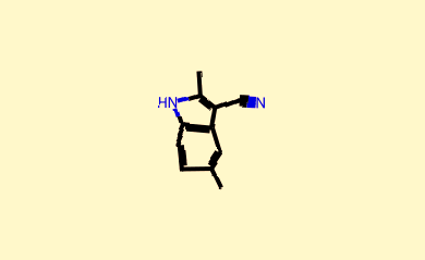 Cc1ccc2[nH]c(C)c(C#N)c2c1